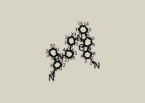 N#Cc1ccc2oc3c(ccc4c5ccccc5n(-c5cccc(-c6cccc(-n7c8ccccc8c8cc(C#N)ccc87)c6)c5)c43)c2c1